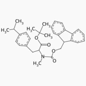 CC(C)c1ccc(CC(C(=O)OC(C)(C)C)N(C)C(=O)OCC2c3ccccc3-c3ccccc32)cc1